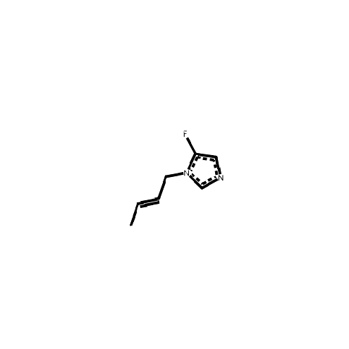 C/C=C/Cn1cncc1F